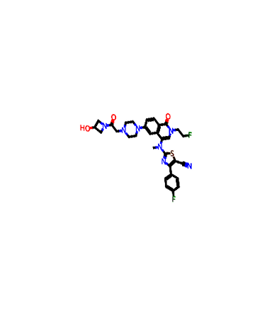 CN(c1nc(-c2ccc(F)cc2)c(C#N)s1)c1cn(CCF)c(=O)c2ccc(N3CCN(CC(=O)N4CC(O)C4)CC3)cc12